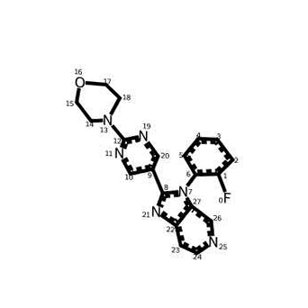 Fc1ccccc1-n1c(-c2cnc(N3CCOCC3)nc2)nc2ccncc21